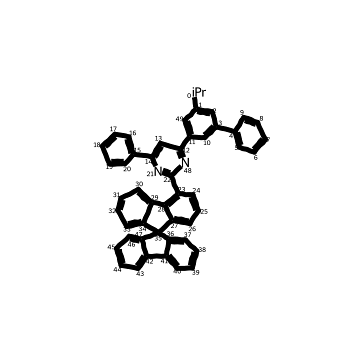 CC(C)c1cc(-c2ccccc2)cc(-c2cc(-c3ccccc3)nc(-c3cccc4c3-c3ccccc3C43c4ccccc4-c4ccccc43)n2)c1